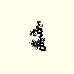 CCC(=O)Oc1ccc(C=CC(=O)Nc2sc3c(c2C(=O)OC(C)(C)C)CCCC3)cc1OC(=O)CC